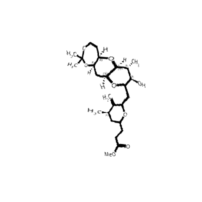 C=C1C(CC2O[C@H]3C[C@H]4OC(C)(C)OCC[C@H]4O[C@H]3[C@H](C)[C@H]2O)OC(CCC(=O)OC)C[C@H]1C